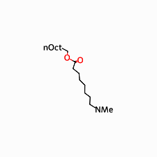 CCCCCCCCCOC(=O)CCCCCCCNC